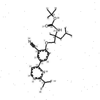 CC(C)CC(C)(COc1ccc(-c2ccnc(C(F)F)n2)cc1C#N)NC(=O)OC(C)(C)C